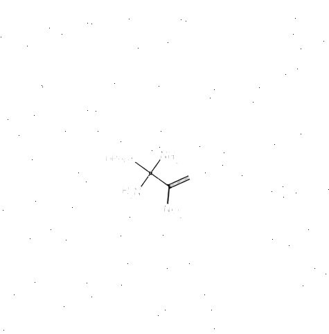 C=C([N+](=O)[O-])C(N)(N)CCCCC